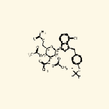 CC(=O)OC[C@H]1O[C@@H](n2cc(Cc3ccc(OC(F)(F)F)cc3)c3c(Cl)cccc32)[C@H](OC(C)=O)[C@@H](OC(C)=O)[C@@H]1OC(C)=O